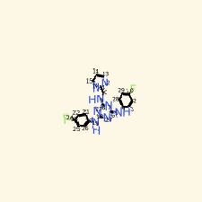 Fc1ccc(Nc2nc(NCc3ncccn3)nc(Nc3ccc(F)cc3)n2)cc1